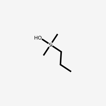 CCC[Si](C)(C)O